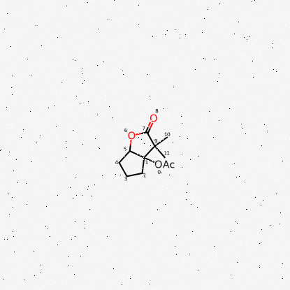 CC(=O)OC12CCCC1OC(=O)C2(C)C